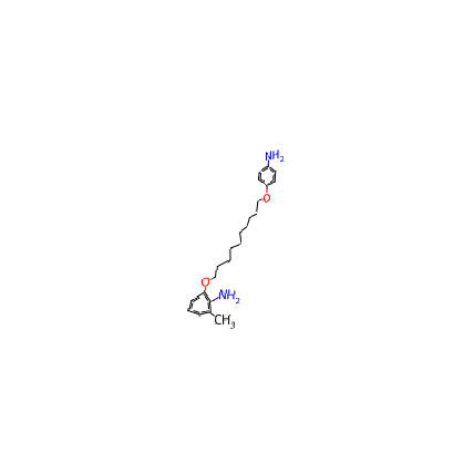 Cc1cccc(OCCCCCCCCCCOc2ccc(N)cc2)c1N